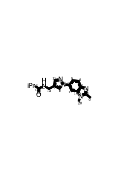 Cc1nc2ccc(-n3cc(CNC(=O)C(C)C)cn3)cc2n1C